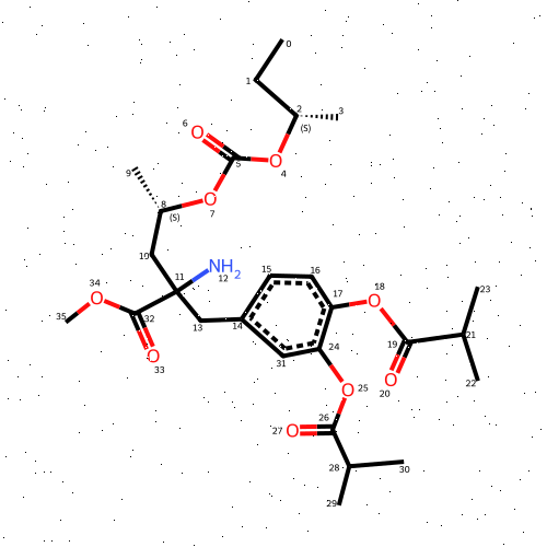 CC[C@H](C)OC(=O)O[C@@H](C)CC(N)(Cc1ccc(OC(=O)C(C)C)c(OC(=O)C(C)C)c1)C(=O)OC